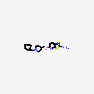 Nc1nc2ccc(OCC3CCN(Cc4ccccc4)CC3)nc2s1